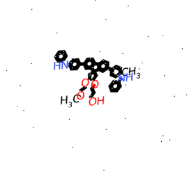 COCCOCCC1(CCOCCCO)c2cc(C3=CCC(C)(Nc4ccccc4)C=C3)ccc2-c2ccc(-c3ccc(Nc4ccccc4)cc3)cc21